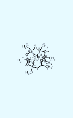 [CH2]C(C)C[Si](C)(C)O[Si](C)(C)O[Si](C)(C)O[Si](C)(C)O[Si](C)(C)C